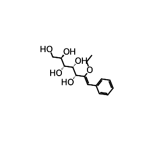 CCOC(=Cc1ccccc1)[C@H](O)[C@@H](O)[C@H](O)[C@H](O)CO